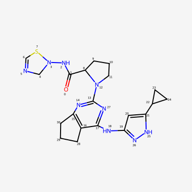 O=C(NN1CN=CS1)C1CCCN1c1nc2c(c(Nc3cc(C4CC4)[nH]n3)n1)CCC2